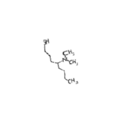 CCCCC(CCCS)N(C)C